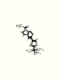 CC(=O)N1CCc2cc(-c3csc(C(C)(C)C)n3)ccc21